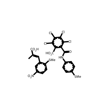 CSc1ccc(NC(=O)c2c(Cl)c(Cl)c(Cl)c(Cl)c2C(=O)O)cc1.CSc1ccc([N+](=O)[O-])cc1C=C(C)C(=O)O